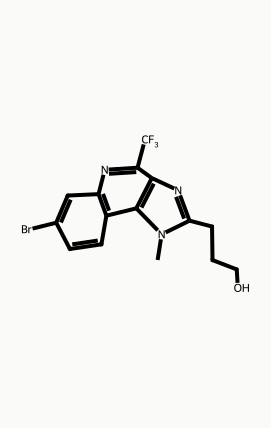 Cn1c(CCCO)nc2c(C(F)(F)F)nc3cc(Br)ccc3c21